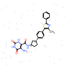 Cc1nc(-c2ccccc2)sc1-c1ccc([C@H]2CC[C@@H](NC(=O)c3[nH]c(=O)[nH]c(=O)c3N)C2)cc1